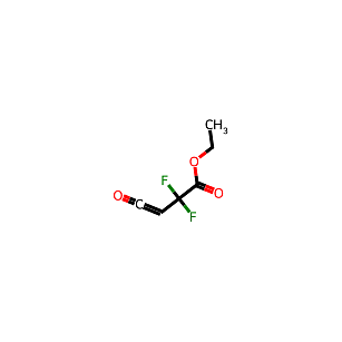 CCOC(=O)C(F)(F)C=C=O